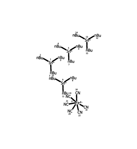 CCC[CH2][Sn+]([CH2]CCC)[CH2]CCC.CCC[CH2][Sn+]([CH2]CCC)[CH2]CCC.CCC[CH2][Sn+]([CH2]CCC)[CH2]CCC.CCC[CH2][Sn+]([CH2]CCC)[CH2]CCC.N#[C][Fe-4]([C]#N)([C]#N)([C]#N)([C]#N)[C]#N